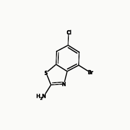 Nc1nc2c(Br)cc(Cl)cc2s1